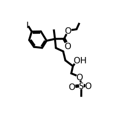 CCOC(=O)C(C)(CCCC(O)COS(C)(=O)=O)c1cccc(I)c1